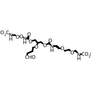 CCOC(=O)NCOCCO/C=C/NC(=O)OCC(COC(=O)NOOCNC(=O)OCC)OCCCC=O